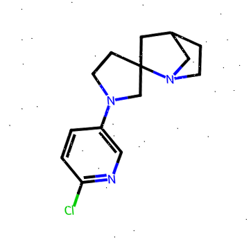 Clc1ccc(N2CCC3(CC4CCN3C4)C2)cn1